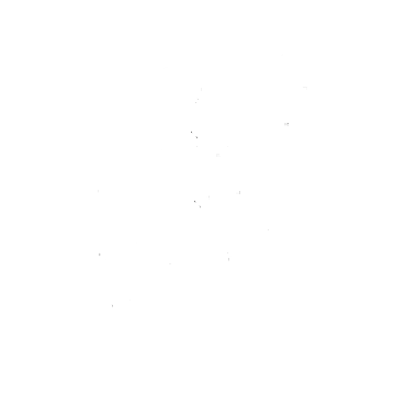 CCOC(=O)c1cc(OC)c(Cl)c(CN2C(=O)c3ccccc3C2=O)n1